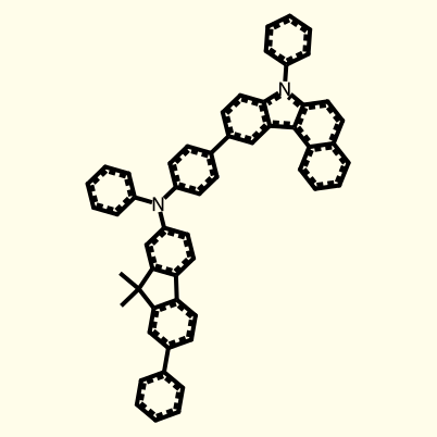 CC1(C)c2cc(-c3ccccc3)ccc2-c2ccc(N(c3ccccc3)c3ccc(-c4ccc5c(c4)c4c6ccccc6ccc4n5-c4ccccc4)cc3)cc21